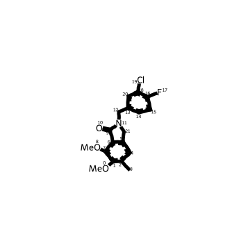 COc1c(C)cc2c(c1OC)C(=O)N(Cc1ccc(F)c(Cl)c1)C2